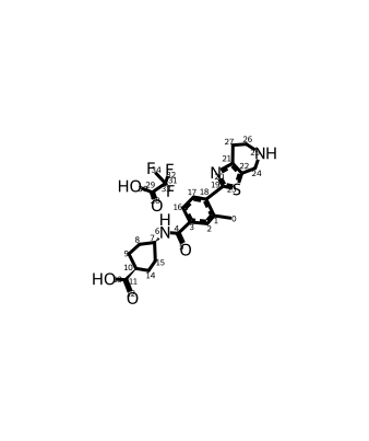 Cc1cc(C(=O)N[C@H]2CC[C@H](C(=O)O)CC2)ccc1-c1nc2c(s1)CNCC2.O=C(O)C(F)(F)F